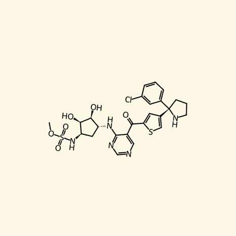 COS(=O)(=O)N[C@@H]1C[C@@H](Nc2ncncc2C(=O)c2cc([C@@]3(c4cccc(Cl)c4)CCCN3)cs2)[C@H](O)[C@@H]1O